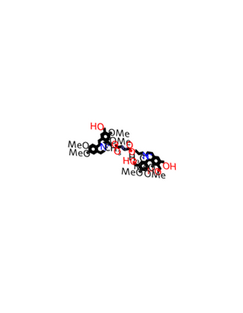 COc1cc2c(cc1OC)C(Cc1cc(CO)c(OC)c(OC)c1)[N+](C)(CCCOC(=O)/C=C/C(=O)OCCC[N+]1(C)CCc3cc(CO)c(CO)c(OC)c3C1c1cc(CO)c(OC)c(OC)c1)CC2